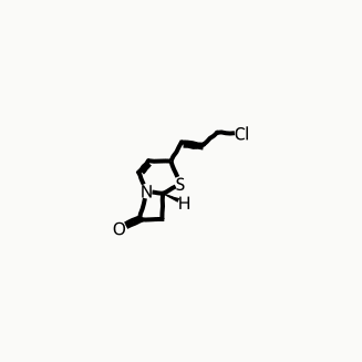 O=C1C[C@H]2SC(C=CCCl)C=CN12